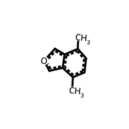 Cc1ccc(C)c2cocc12